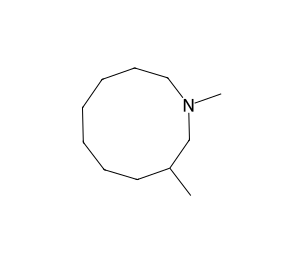 CC1CCCCCCCN(C)C1